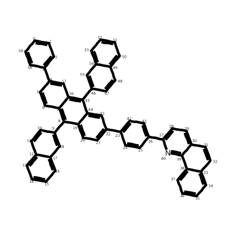 c1ccc(-c2ccc3c(-c4ccc5ccccc5c4)c4ccc(-c5ccc(-c6ccc7ccc8ccccc8c7n6)cc5)cc4c(-c4ccc5ccccc5c4)c3c2)cc1